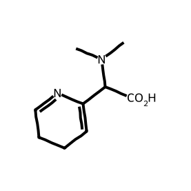 CN(C)C(C(=O)O)C1=CCCC=N1